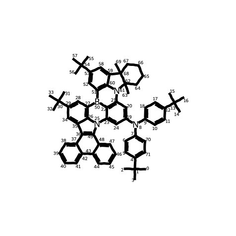 CC(C)(C)c1ccc(N(c2ccc(C(C)(C)C)cc2)c2cc3c4c(c2)-n2c5c(cc(C(C)(C)C)cc5c5c6ccccc6c6ccccc6c52)B4c2cc(C(C)(C)C)cc4c2N3C2(C)CCCCC42C)cc1